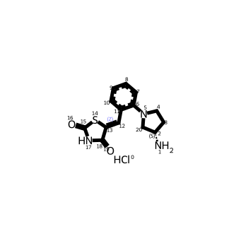 Cl.N[C@H]1CCN(c2ccccc2/C=C2\SC(=O)NC2=O)C1